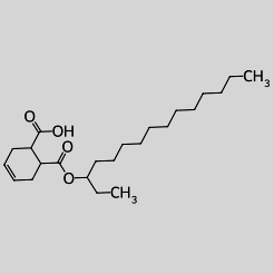 CCCCCCCCCCCCC(CC)OC(=O)C1CC=CCC1C(=O)O